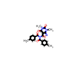 Cc1ccc(C(=O)N(C(=O)c2ccc(C)cc2)c2onc3c2c(=O)n(C)c(=O)n3C)cc1